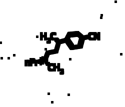 CCCN(C)CCC(C)c1ccc(C#N)cc1